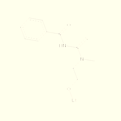 CCOCCN(C)C(=S)NC(=O)c1ccccc1